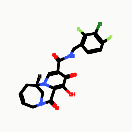 O=C(NCc1ccc(F)c(Cl)c1F)c1cn2c(c(O)c1=O)C(=O)N1CC=CC[C@H]2C1